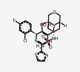 NS(=O)(=O)N[C@H]1C[C@H]2COC[C@@H](C1)N2CC1=C(C(=O)O)[C@H](c2ccc(F)cc2Cl)N=C(c2nccs2)N1